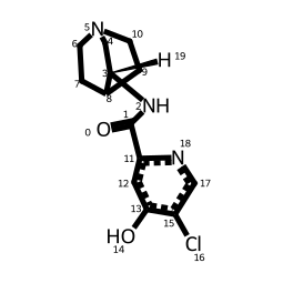 O=C(N[C@H]1CN2CCC1CC2)c1cc(O)c(Cl)cn1